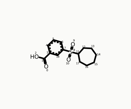 O=C(O)c1cccc(S(=O)(=O)C2CCCCCC2)c1